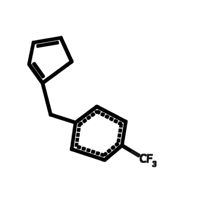 FC(F)(F)c1ccc(CC2=CC=CC2)cc1